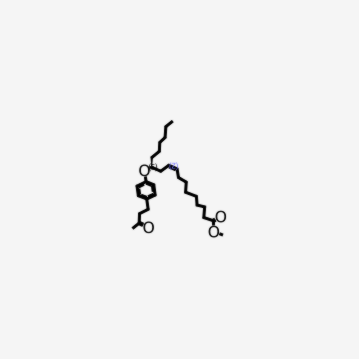 CCCCCC[C@@H](C/C=C\CCCCCCCC(=O)OC)Oc1ccc(CCC(C)=O)cc1